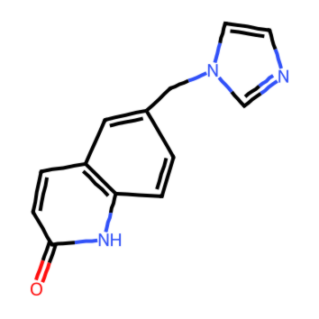 O=c1ccc2cc(Cn3ccnc3)ccc2[nH]1